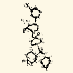 Nc1c(-c2cccc(Cl)c2)ncn(CC2(O)CCN(C(=O)[C@@H]3CCC(F)(F)C[C@H]3c3ccccc3)CC2)c1=O